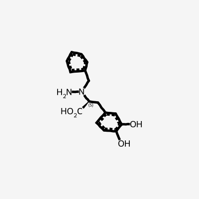 NN(Cc1ccccc1)[C@@H](Cc1ccc(O)c(O)c1)C(=O)O